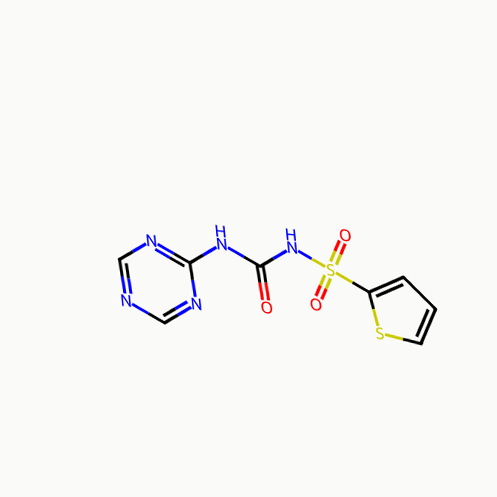 O=C(Nc1ncncn1)NS(=O)(=O)c1cccs1